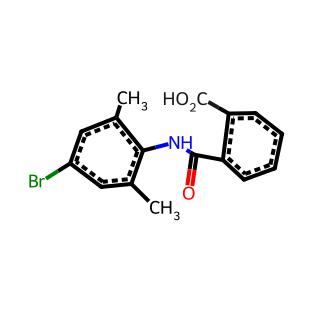 Cc1cc(Br)cc(C)c1NC(=O)c1ccccc1C(=O)O